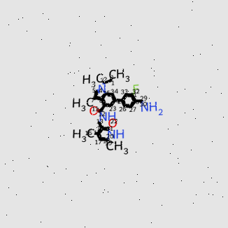 CCC(C)n1cc(C)c2c(C(=O)NCc3c(C)cc(C)[nH]c3=O)cc(-c3ccc(CN)c(F)c3)cc21